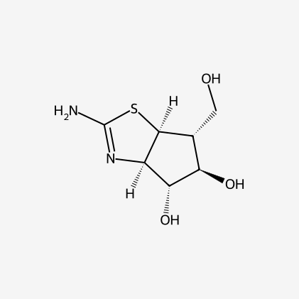 NC1=N[C@@H]2[C@@H](O)[C@H](O)[C@@H](CO)[C@@H]2S1